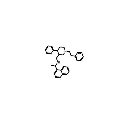 C[C@@H](NCC1CN(CCc2ccccc2)CCC1c1ccccc1)c1cccc2ccccc12